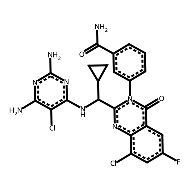 NC(=O)c1cccc(-n2c(C(Nc3nc(N)nc(N)c3Cl)C3CC3)nc3c(Cl)cc(F)cc3c2=O)c1